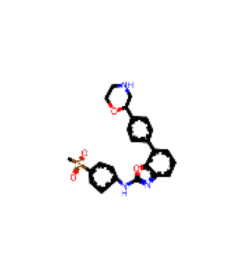 CS(=O)(=O)c1ccc(Nc2nc3cccc(-c4ccc(C5CNCCO5)cc4)c3o2)cc1